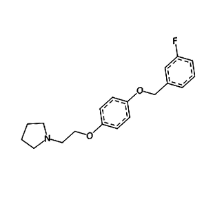 Fc1cccc(COc2ccc(OCCN3CCCC3)cc2)c1